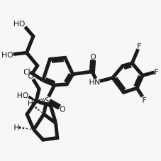 O=C(Nc1cc(F)c(F)c(F)c1)c1ccc(Cl)c(S(=O)(=O)[C@H]2C3CC[C@H]2C[C@](O)(COCC(O)CO)C3)c1